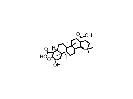 CC1(C)C=C2C3=CC[C@@H]4[C@@]5(C)C[C@@H](O)[C@H](O)[C@](C)(C(=O)O)[C@@H]5CC[C@@]4(C)[C@]3(C)CC[C@@]2(C(=O)O)CC1